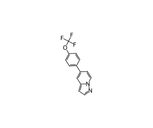 FC(F)(F)Oc1ccc(-c2ccn3nccc3c2)cc1